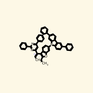 C/C=C(/c1cc(-c2ccccc2)nc(-c2ccccc2)n1)c1c(CC)oc2cc(-n3c4ccc(-c5ccccc5)cc4c4ccc(-c5ccccc5)cc43)ccc12